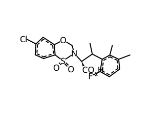 Cc1ccc(F)c(C(C)[C@@H](C(=O)O)N2COc3cc(Cl)ccc3S2(=O)=O)c1C